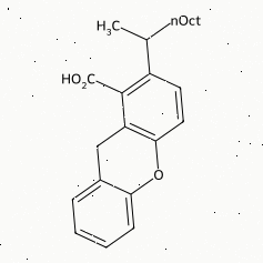 CCCCCCCCC(C)c1ccc2c(c1C(=O)O)Cc1ccccc1O2